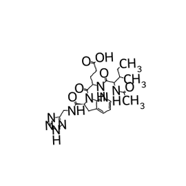 CCC(C)C(NC(C)=O)C(=O)NC(CCC(=O)O)C(=O)N1c2ncccc2C[C@H]1C(=O)NCc1nn[nH]n1